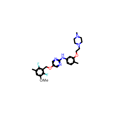 COc1cc(C)c(F)c(COc2cnc(Nc3ccc(C)c(OCCN4CCN(C)CC4)c3)nc2)c1F